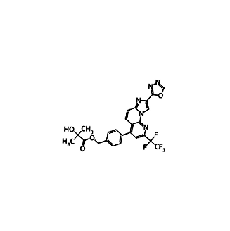 CC(C)(O)C(=O)OCc1ccc(-c2cc(C(F)(F)C(F)(F)F)nc3c2ccc2nc(-c4nnco4)cn23)cc1